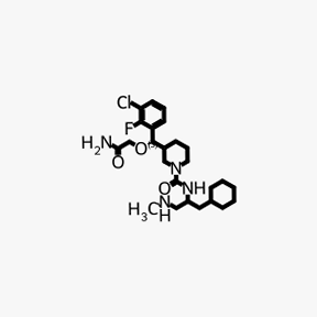 CNCC(CC1CCCCC1)NC(=O)N1CCCC([C@H](OCC(N)=O)c2cccc(Cl)c2F)C1